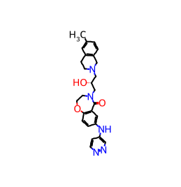 Cc1ccc2c(c1)CCN(C[C@@H](O)CN1CCOc3ccc(Nc4ccnnc4)cc3C1=O)C2